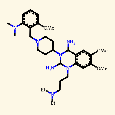 CCN(CC)CCCN1c2cc(OC)c(OC)cc2C(N)N(C2CCN(Cc3c(OC)cccc3N(C)C)CC2)C1N